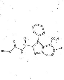 C[C@H](NC(=O)OC(C)(C)C)c1nc2ccc(F)c(C(=O)O)c2n1-c1ccccc1